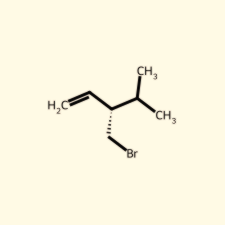 C=C[C@@H](CBr)C(C)C